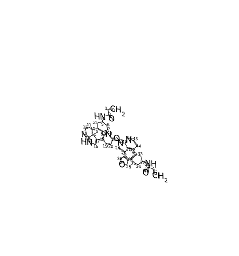 C=CC(=O)NC1CCC=C(c2ccnc3[nH]cc(-c4ccc(On5cc(C6=CCOC6)c6c(C7=CCCC(NC(=O)C=C)C7)ccnc65)nc4)c23)C1